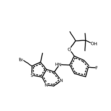 Cc1c(Br)sc2ncnc(Nc3ccc(F)cc3OC(C)C(C)(C)O)c12